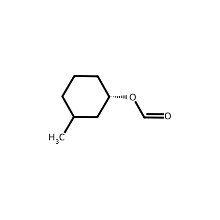 CC1CCC[C@H](OC=O)C1